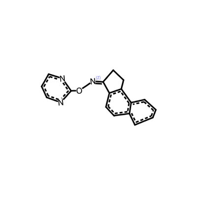 c1cnc(O/N=C2/CCc3c2ccc2ccccc32)nc1